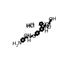 Cl.Cl.Nc1ccc([C@@H](O)CNCCOc2ccc(-c3ccc(C(=O)NS(=O)(=O)CCCO)c(C4CCCC4)c3)cc2)cc1